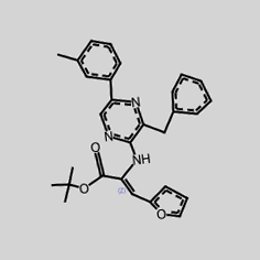 Cc1cccc(-c2cnc(N/C(=C\c3ccco3)C(=O)OC(C)(C)C)c(Cc3ccccc3)n2)c1